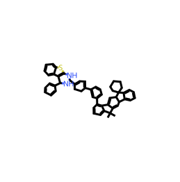 CC1(C)C2=CC3c4ccccc4C4(CCCCC4)C3C=C2c2c(-c3cccc(C4=CC=C(C5Nc6sc7ccccc7c6C(c6ccccc6)N5)CC4)c3)cccc21